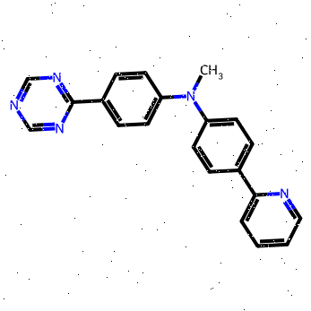 CN(c1ccc(-c2ccccn2)cc1)c1ccc(-c2ncncn2)cc1